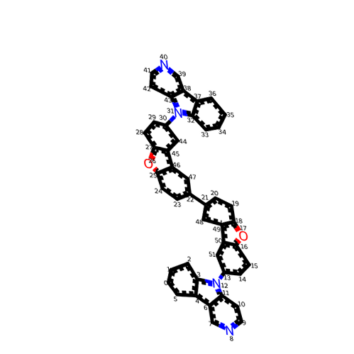 c1ccc2c(c1)c1cnccc1n2-c1ccc2oc3ccc(-c4ccc5oc6ccc(-n7c8ccccc8c8cnccc87)cc6c5c4)cc3c2c1